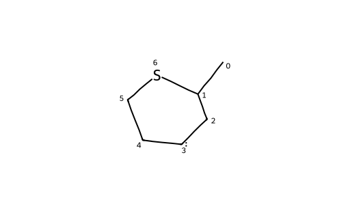 CC1C[C]CCS1